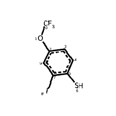 FC(F)(F)Oc1ccc(S)c(I)c1